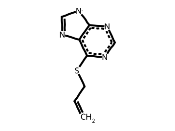 C=CCSc1ncnc2c1N=C[N]2